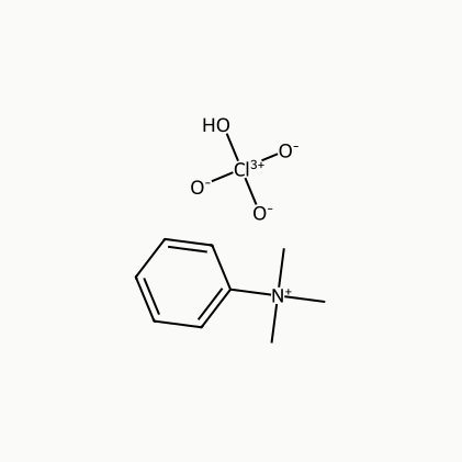 C[N+](C)(C)c1ccccc1.[O-][Cl+3]([O-])([O-])O